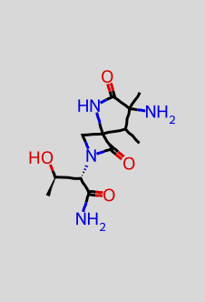 CC1C(C)(N)C(=O)NC12CN([C@H](C(N)=O)[C@@H](C)O)C2=O